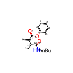 C=C(C(=O)Oc1ccccc1)C(C)C(=O)NCCCC